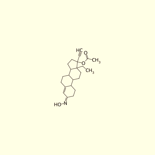 C#CC1(OC(C)=O)CCC2C3CCC4=CC(=NO)CCC4C3CCC21CC